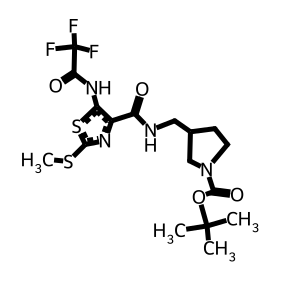 CSc1nc(C(=O)NCC2CCN(C(=O)OC(C)(C)C)C2)c(NC(=O)C(F)(F)F)s1